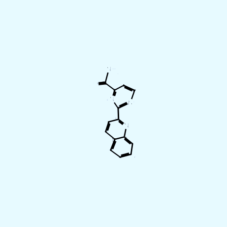 NC(=O)c1ccnc(-c2ccc3ccccc3n2)n1